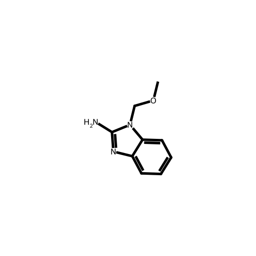 COCn1c(N)nc2ccccc21